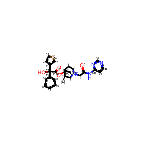 O=C(C[N+]12CCC(CC1)[C@@H](OC(=O)C(O)(c1ccccc1)c1ccsc1)C2)Nc1ccncn1